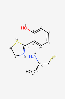 N[C@@H](CS)C(=O)O.Oc1ccccc1C1=NCCS1